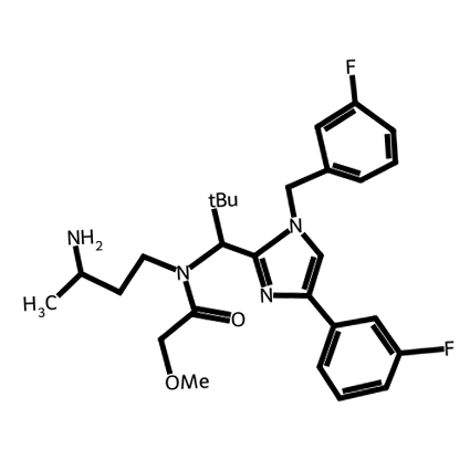 COCC(=O)N(CCC(C)N)C(c1nc(-c2cccc(F)c2)cn1Cc1cccc(F)c1)C(C)(C)C